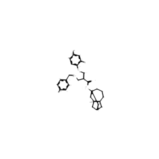 O=C(NC12CCCC3CC(C[C@H]3C1)C2)C1CN(Cc2ccc(F)cc2)N(c2ccc(Cl)cc2Cl)C1